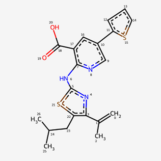 C=C(C)c1nc(Nc2ncc(-c3cccs3)cc2C(=O)O)sc1CC(C)C